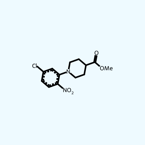 COC(=O)C1CCN(c2cc(Cl)ccc2[N+](=O)[O-])CC1